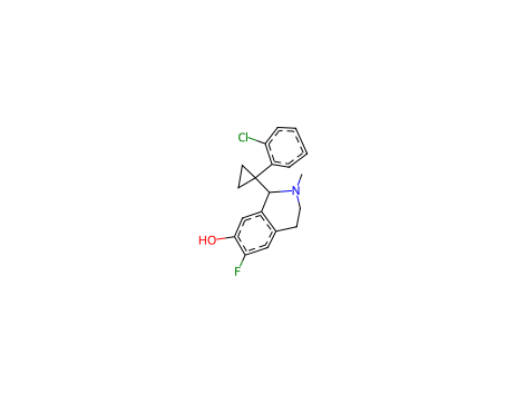 CN1CCc2cc(F)c(O)cc2C1C1(c2ccccc2Cl)CC1